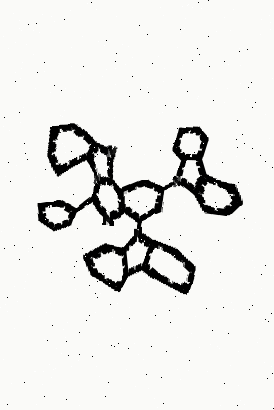 c1ccc(-c2nc3c(-n4c5ccccc5c5ccccc54)cc(-n4c5ccccc5c5ccccc54)cc3c3nc4ccccc4n23)cc1